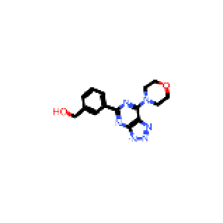 OCc1cccc(-c2nc3c(c(N4CCOCC4)n2)N=N[N]3)c1